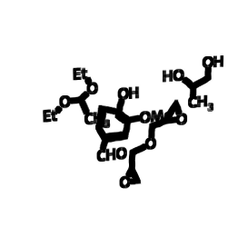 C(OCC1CO1)C1CO1.CC(O)CO.CCOC(C)OCC.COc1cc(C=O)ccc1O